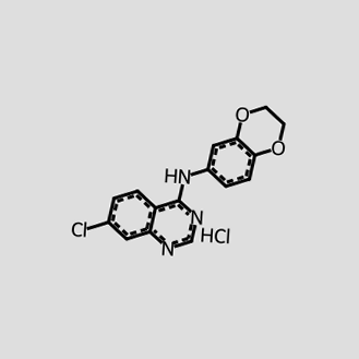 Cl.Clc1ccc2c(Nc3ccc4c(c3)OCCO4)ncnc2c1